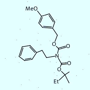 CCC(C)(C)OC(=O)N(CCc1ccccc1)C(=O)OCc1ccc(OC)cc1